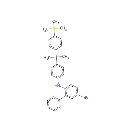 CC(C)(C)c1ccc(Nc2ccc(C(C)(C)c3ccc(S(C)(C)C)cc3)cc2)c(-c2ccccc2)c1